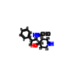 CC(c1ccccc1)C(NC=O)C1(O)CCNCC1